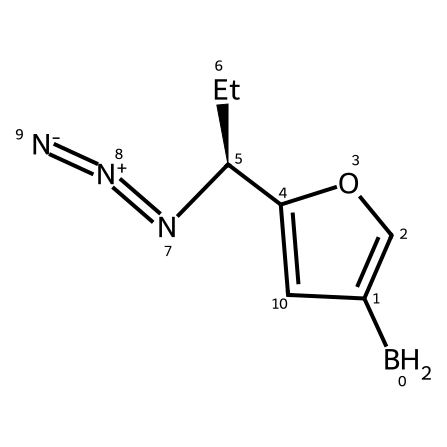 Bc1coc([C@H](CC)N=[N+]=[N-])c1